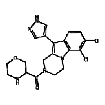 O=C(C1COCCN1)N1CCn2c(c(-c3cn[nH]c3)c3ccc(Cl)c(Cl)c32)C1